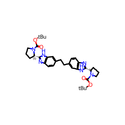 CC(C)(C)OC(=O)N1CCC[C@H]1c1nc2ccc(CCc3ccc4nc([C@@H]5CCCN5C(=O)OC(C)(C)C)[nH]c4c3)cc2[nH]1